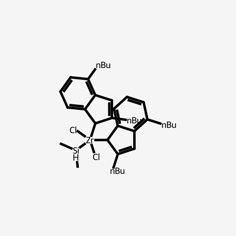 CCCCC1=Cc2c(CCCC)cccc2[CH]1[Zr]([Cl])([Cl])([CH]1C(CCCC)=Cc2c(CCCC)cccc21)[SiH](C)C